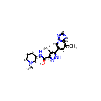 Cc1cc(-c2[nH]nc(C(=O)N[C@H]3CCCN(C(C)C)C3)c2C(C)C)cn2ncnc12